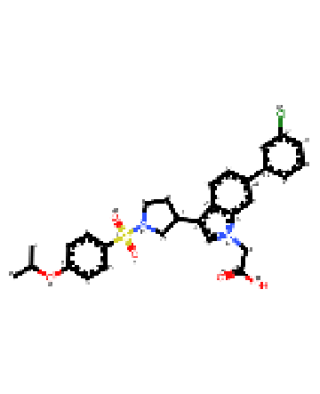 CC(C)Oc1ccc(S(=O)(=O)N2CCC(c3cn(CC(=O)O)c4cc(-c5cccc(Cl)c5)ccc34)C2)cc1